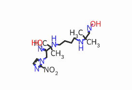 CC(C)(C=NO)NCCCCNC(C)(C)C(Cn1ccnc1[N+](=O)[O-])=NO